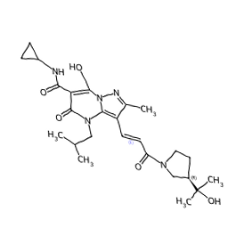 Cc1nn2c(O)c(C(=O)NC3CC3)c(=O)n(CC(C)C)c2c1/C=C/C(=O)N1CC[C@@H](C(C)(C)O)C1